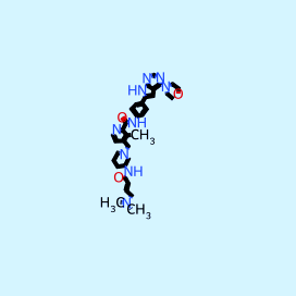 Cc1c(CN2CCCC(NC(=O)/C=C/CN(C)C)C2)ccnc1C(=O)Nc1ccc(-c2cc3c(N4CCOCC4)ncnc3[nH]2)cc1